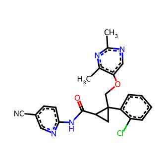 Cc1ncc(OCC2(c3ccccc3Cl)CC2C(=O)Nc2ccc(C#N)cn2)c(C)n1